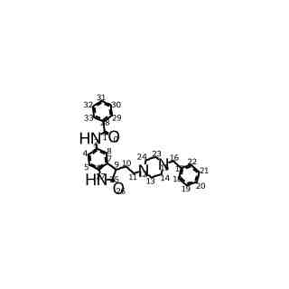 O=C(Nc1ccc2c(c1)C(CCN1CCN(Cc3ccccc3)CC1)C(=O)N2)c1ccccc1